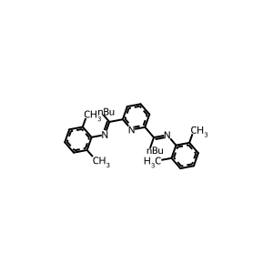 CCCCC(=Nc1c(C)cccc1C)c1cccc(C(CCCC)=Nc2c(C)cccc2C)n1